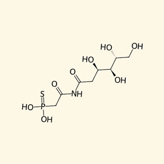 O=C(C[C@@H](O)[C@H](O)[C@H](O)CO)NC(=O)CP(O)(O)=S